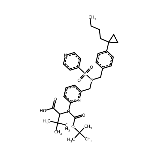 CCCCC1(c2ccc(CN(Cc3cccc(N(C(=O)OC(C)(C)C)C(C(=O)O)C(C)(C)C)n3)S(=O)(=O)c3ccncc3)cc2)CC1